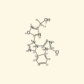 CC(C)(O)c1noc(N2C=NC3c4ccccc4-n4c(cnc4Cl)N32)n1